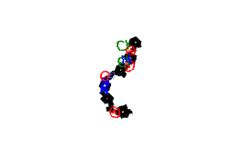 Cc1ccc(OC(C)Cc2ccc(CN3CCN(C(=O)/C=C/c4cc(C)c(Oc5ccc(OCc6ccccc6Cl)cn5)c(Cl)c4)CC3)cc2)cc1